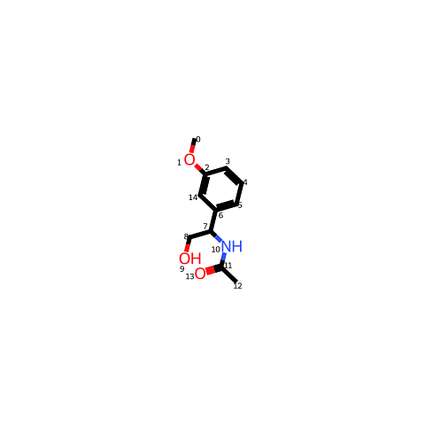 COc1cccc(C(CO)NC(C)=O)c1